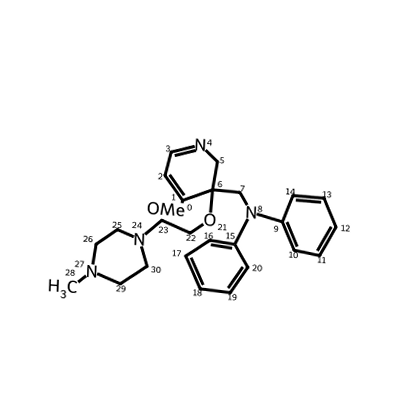 COC1=CC=NCC1(CN(c1ccccc1)c1ccccc1)OCCN1CCN(C)CC1